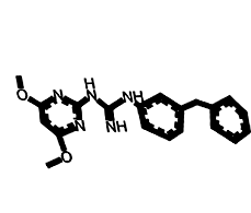 COc1cc(OC)nc(NC(=N)Nc2cccc(Cc3ccccc3)c2)n1